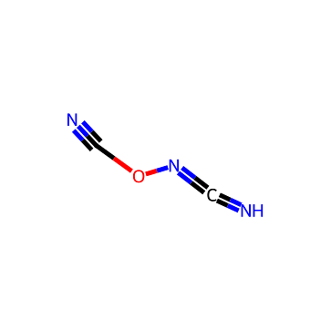 N#CON=C=N